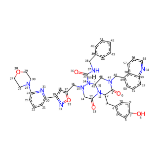 O=C1C(Cc2ccc(O)cc2)N2C(=O)CN(Cc3cc(-c4cccc(N5CCOCC5)n4)no3)N(C(=O)NCc3ccccc3)[C@H]2CN1Cc1cccc2ncccc12